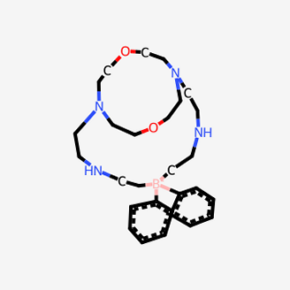 c1ccc([B-]2(c3ccccc3)CCNCCN3CCOCCN(CCNCC2)CCOCC3)cc1